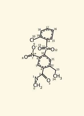 C=NC(=O)c1cc([N+](=O)[O-])c(S(=O)(=O)c2ccccc2Cl)cc1CC